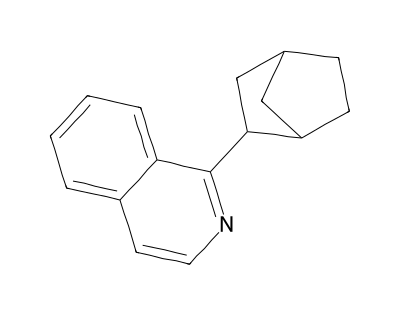 c1ccc2c(C3CC4CCC3C4)nccc2c1